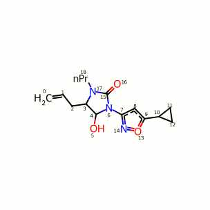 C=CCC1C(O)N(c2cc(C3CC3)on2)C(=O)N1CCC